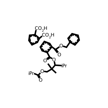 CC(C)C(=O)OCC(C)(C)C(OC(=O)c1ccccc1C(=O)OCc1ccccc1)C(C)C.O=C(O)c1ccccc1C(=O)O